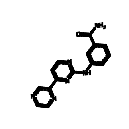 NC(=O)c1cccc(Nc2nccc(-c3cnccn3)n2)c1